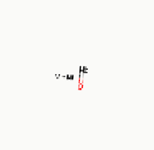 [Mo].[Ni].[O]=[Nb]